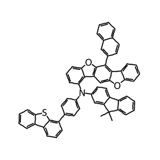 CC1(C)c2ccccc2-c2ccc(N(c3ccc(-c4cccc5c4sc4ccccc45)cc3)c3cccc4oc5c(-c6ccc7ccccc7c6)c6c(cc5c34)oc3ccccc36)cc21